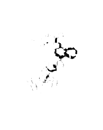 CCCOC(Cc1ccc(OCCc2nc(C(C)(C)C)oc2C)c2ccccc12)C(=O)O